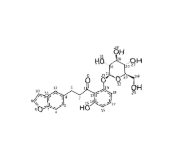 O=C(CCc1ccc2occc2c1)c1c(O)cccc1O[C@@H]1O[C@H](CO)[C@@H](O)[C@H](O)[C@H]1O